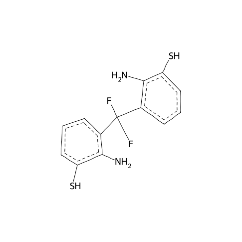 Nc1c(S)cccc1C(F)(F)c1cccc(S)c1N